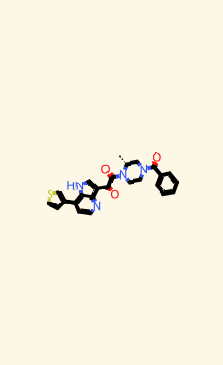 C[C@@H]1CN(C(=O)c2ccccc2)CCN1C(=O)C(=O)c1c[nH]c2c(-c3ccsc3)ccnc12